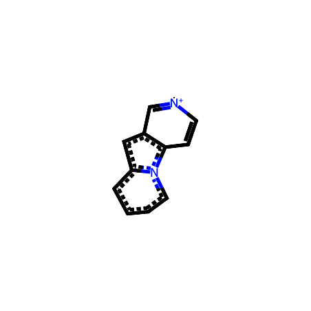 C1=Cc2c(cc3ccccn23)C=[N+]1